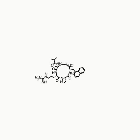 CC[C@@H]1NC(=O)[C@H](CCCNC(=N)N)NC(=O)[C@](C)(NC(=O)C(C)C)CCNC(=O)[C@@H](Cc2cccc3ccccc23)NC1=O